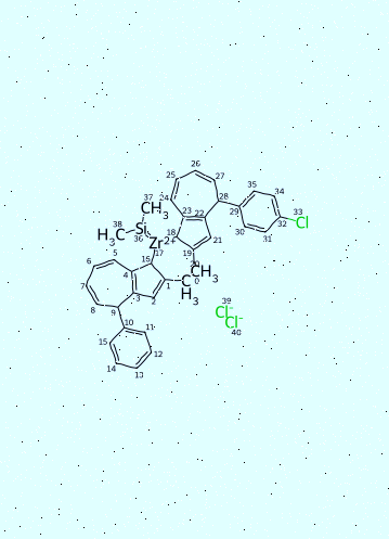 CC1=CC2=C(C=CC=CC2c2ccccc2)[CH]1[Zr+2]([CH]1C(C)=CC2=C1C=CC=CC2c1ccc(Cl)cc1)=[Si](C)C.[Cl-].[Cl-]